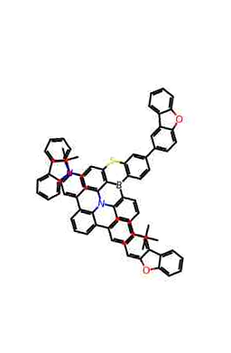 CC(C)(C)c1ccc(-c2cccc(-c3ccc(C(C)(C)C)cc3)c2N2c3cc(-c4ccc5oc6ccccc6c5c4)ccc3B3c4ccc(-c5ccc6oc7ccccc7c6c5)cc4Sc4cc(-n5c6ccccc6c6ccccc65)cc2c43)cc1